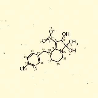 CC1(O)C(O)C([N+](=O)[O-])=C2N(Cc3ccc(Cl)nc3)CCCN21